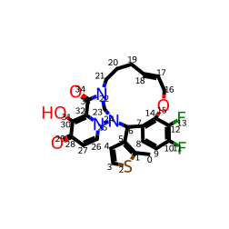 Cc1sccc1C1c2ccc(F)c(F)c2OC/C=C/CCCN2CN1n1ccc(=O)c(O)c1C2=O